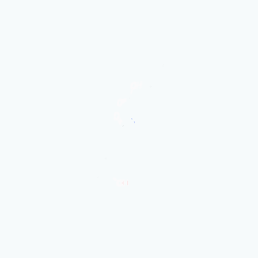 O=C(/C=C/c1cccc(O)c1)N[C@@H](Cc1ccccc1)C(=O)O